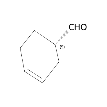 O=C[C@@H]1CC=CCC1